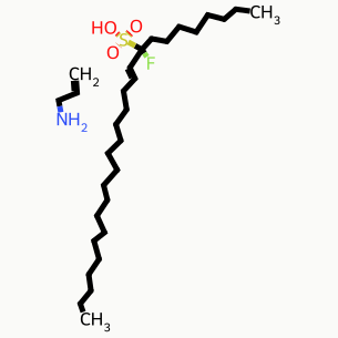 C=CCN.CCCCCCCCCCCCCCCCC=CC(F)(CCCCCCCC)S(=O)(=O)O